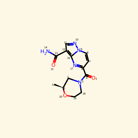 C[C@H]1CN(C(=O)c2ccn3ncc(C(N)=O)c3n2)CCO1